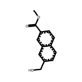 COC(=O)c1ccc2ccc(CO)cc2c1